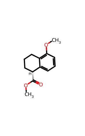 COC(=O)[C@@H]1CCCc2c(OC)cccc21